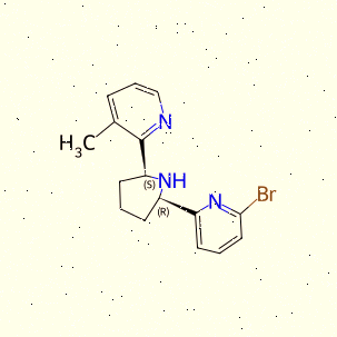 Cc1cccnc1[C@@H]1CCC[C@H](c2cccc(Br)n2)N1